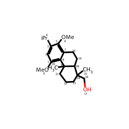 COc1cc(C(C)C)c(OC)c2c1C1(C)CCCC(C)(CO)C1CC2